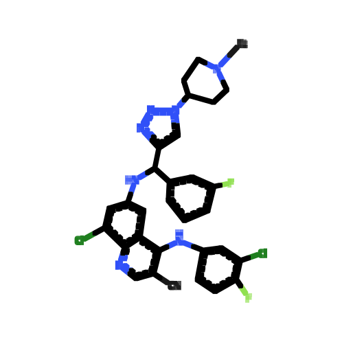 CCN1CCC(n2cc(C(Nc3cc(Cl)c4ncc(C#N)c(Nc5ccc(F)c(Cl)c5)c4c3)c3cccc(F)c3)nn2)CC1